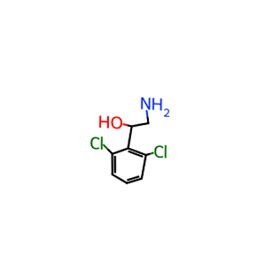 NCC(O)c1c(Cl)cccc1Cl